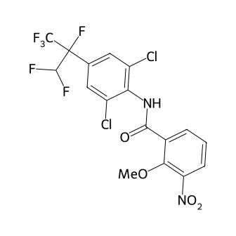 COc1c(C(=O)Nc2c(Cl)cc(C(F)(C(F)F)C(F)(F)F)cc2Cl)cccc1[N+](=O)[O-]